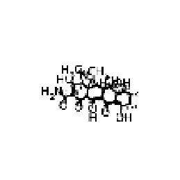 CN(C)[C@@H]1C(O)=C(C(N)=O)C(=O)C2C(O)=C3C(=O)c4c(O)cccc4[C@@](C)(O)[C@H]3C[C@H]21